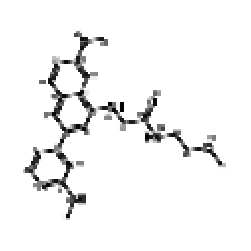 CNc1nccc(-c2cc(NCC(=O)NCCOC)c3cc(OC)ccc3c2)n1